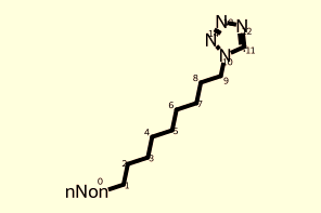 CCCCCCCCCCCCCCCCCCn1[c]nnn1